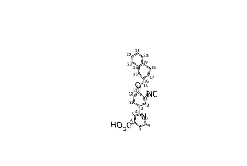 [C-]#[N+]c1cc(-c2cc(C(=O)O)ccn2)ccc1OCc1ccc2ccccc2c1